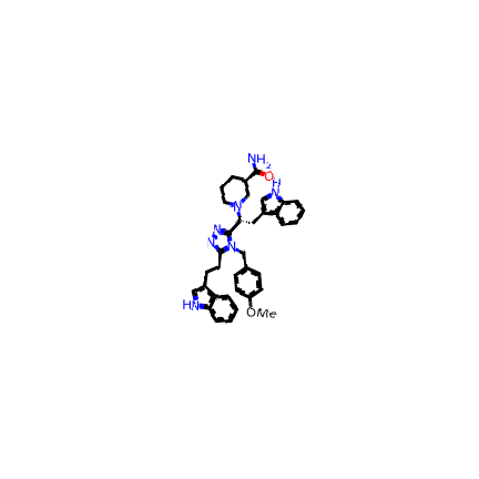 COc1ccc(Cn2c(CCc3c[nH]c4ccccc34)nnc2[C@@H](Cc2c[nH]c3ccccc23)N2CCCC(C(N)=O)C2)cc1